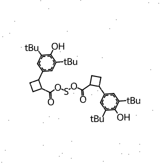 CC(C)(C)c1cc(C2CCC2C(=O)OSOC(=O)C2CCC2c2cc(C(C)(C)C)c(O)c(C(C)(C)C)c2)cc(C(C)(C)C)c1O